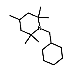 CC1CC(C)(C)N(CC2CCCCC2)C(C)(C)C1